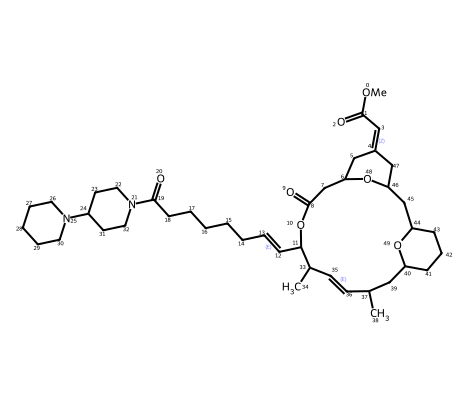 COC(=O)/C=C1\CC2CC(=O)OC(/C=C/CCCCCC(=O)N3CCC(N4CCCCC4)CC3)C(C)/C=C/C(C)CC3CCCC(CC(C1)O2)O3